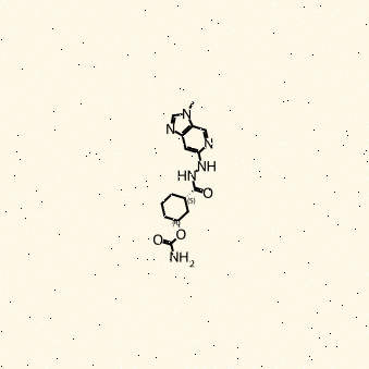 Cn1cnc2cc(NNC(=O)[C@H]3CCC[C@@H](OC(N)=O)C3)ncc21